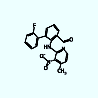 Cc1ccnc(Nc2c(C=O)cccc2-c2ccccc2F)c1[N+](=O)[O-]